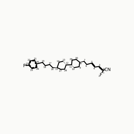 N#CC(F)=CC=CCC[C@H]1CC[C@H]([C@H]2CC[C@H](CCCCc3ccc(F)cc3)CC2)CC1